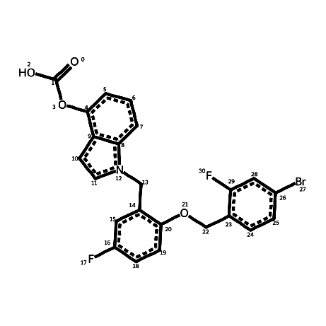 O=C(O)Oc1cccc2c1ccn2Cc1cc(F)ccc1OCc1ccc(Br)cc1F